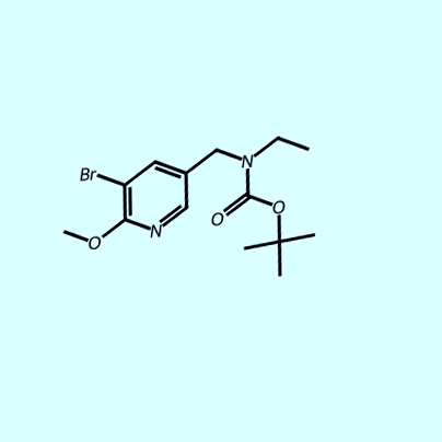 CCN(Cc1cnc(OC)c(Br)c1)C(=O)OC(C)(C)C